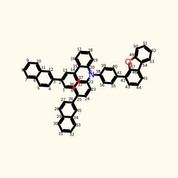 c1cc(-c2ccc3ccccc3c2)cc(-c2ccccc2N(c2ccc(-c3ccc4ccccc4c3)cc2)c2ccc(-c3cccc4c3oc3ccccc34)cc2)c1